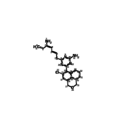 C=C/C(N)=C\C=C\Sc1nc(N)nc(-c2c(Cl)cc3c4c(cccc24)COC3)n1